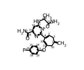 C=C1CC=C(c2nc(N[C@@H](C)C(N)=O)cc(C(N)=O)n2)C=C(Oc2ccc(F)cc2)C1